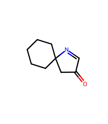 O=C1C=NC2(CCCCC2)C1